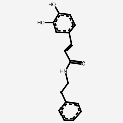 O=C(C=Cc1ccc(O)c(O)c1)NCCc1ccccc1